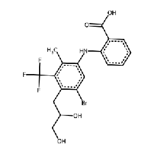 Cc1c(Nc2ccccc2C(=O)O)cc(Br)c(CC(O)CO)c1C(F)(F)F